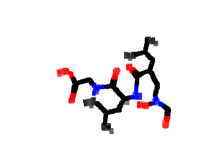 CC(C)CC(CN(O)C=O)C(=O)N[C@@H](CC(C)C)C(=O)NCC(=O)O